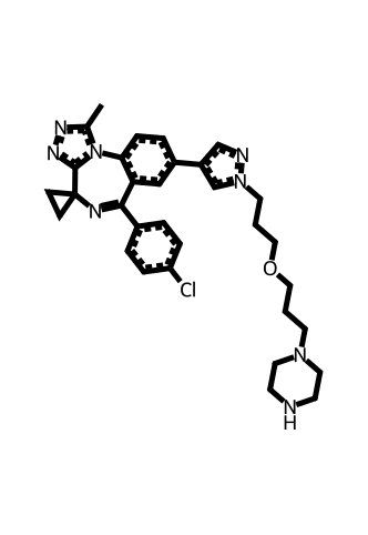 Cc1nnc2n1-c1ccc(-c3cnn(CCCOCCCN4CCNCC4)c3)cc1C(c1ccc(Cl)cc1)=NC21CC1